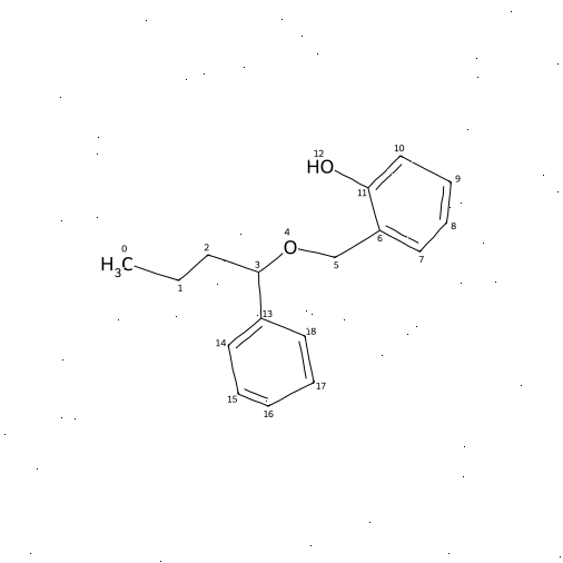 CCCC(OCc1ccccc1O)c1ccccc1